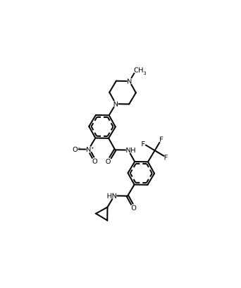 CN1CCN(c2ccc([N+](=O)[O-])c(C(=O)Nc3cc(C(=O)NC4CC4)ccc3C(F)(F)F)c2)CC1